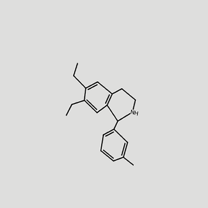 CCc1cc2c(cc1CC)C(c1cccc(C)c1)NCC2